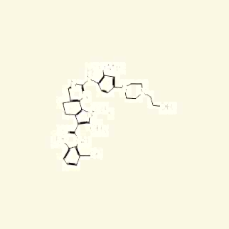 CCc1cccc(CC)c1NC(=O)c1c2c(n(C)c1C)-c1nc(Nc3ccc(N4CCN(CCO)CC4)cc3OC)ncc1CC2